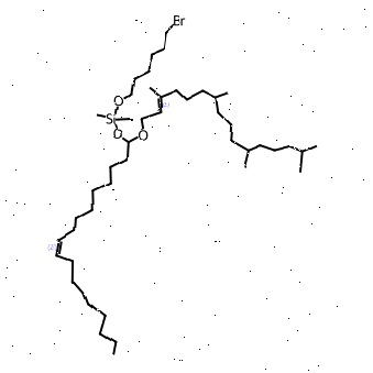 CCCCCCCC/C=C\CCCCCCCC(OC/C=C(\C)CCCC(C)CCCC(C)CCCC(C)C)O[Si](C)(C)OCCCCCCBr